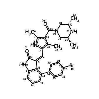 Cc1[nH]c(C=C2C(=O)Nc3cccc(-c4ccc(Br)cc4)c32)c(C)c1C(=O)N1C[C@H](C)N[C@@H](C)C1